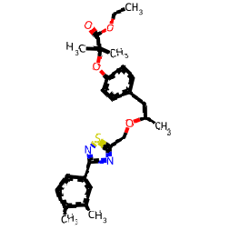 CCOC(=O)C(C)(C)Oc1ccc(CC(C)OCc2nc(-c3ccc(C)c(C)c3)ns2)cc1